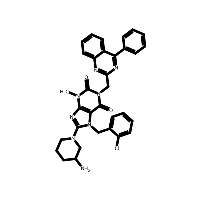 Cn1c(=O)n(Cc2nc(-c3ccccc3)c3ccccc3n2)c(=O)c2c1nc(N1CCCC(N)C1)n2Cc1ccccc1Cl